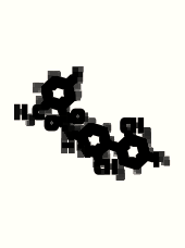 Cc1cc(F)ccc1-c1ccc(NS(=O)(=O)c2cc(F)ccc2C)nc1C